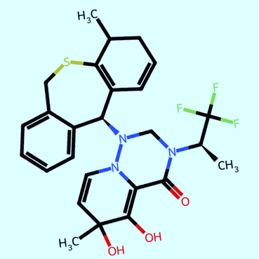 CC1CC=CC2=C1SCc1ccccc1[C@@H]2N1CN([C@H](C)C(F)(F)F)C(=O)C2=C(O)C(C)(O)C=CN21